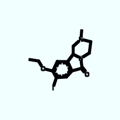 CCOc1cc2c(cc1I)C(=O)N1CCN(C)CC21